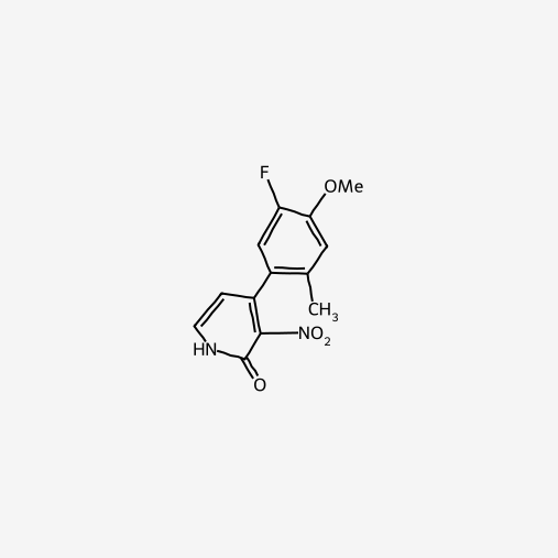 COc1cc(C)c(-c2cc[nH]c(=O)c2[N+](=O)[O-])cc1F